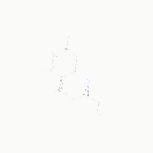 COC(=O)c1cc(=O)c2c(C)cc(C)cc2[nH]1